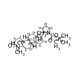 CN1C(=O)CC[C@@]2(C)C1=CC[C@@H]1[C@@H]2CC[C@]2(C)C(c3cccn3C(=O)OC(C)(C)C)=CC[C@@H]12